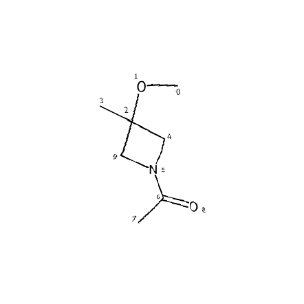 COC1(C)CN(C(C)=O)C1